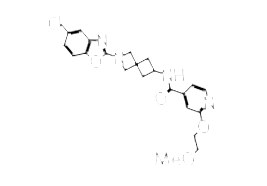 COCCOc1cc(C(=O)NC2CC3(C2)CN(c2nc4cc(Cl)ccc4o2)C3)ccn1